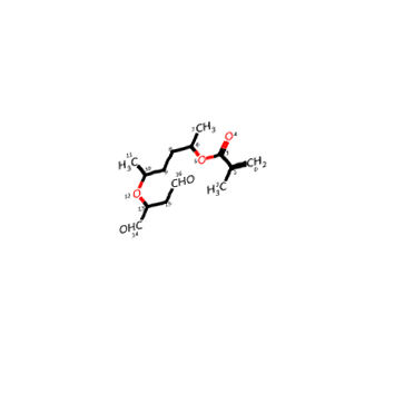 C=C(C)C(=O)OC(C)CCC(C)OC(C=O)CC=O